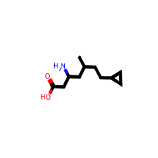 CC(CCC1CC1)CC(N)CC(=O)O